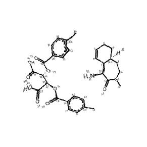 CN1CC[C@@H]2CCC=CC2=C(N)C1=O.Cc1ccc(C(=O)O[C@@H](C(=O)O)[C@@H](OC(=O)c2ccc(C)cc2)C(=O)O)cc1